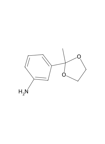 CC1(c2cccc(N)c2)OCCO1